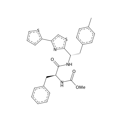 COC(=O)N[C@@H](Cc1ccccc1)C(=O)N[C@@H](Cc1ccc(C)cc1)c1nc(-c2cccs2)cs1